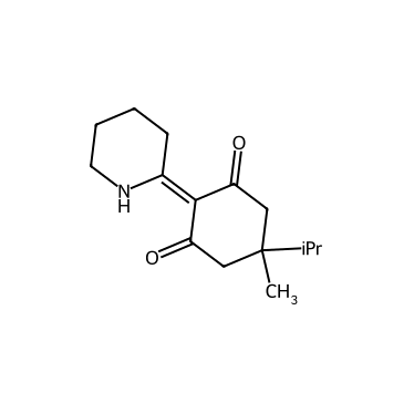 CC(C)C1(C)CC(=O)C(=C2CCCCN2)C(=O)C1